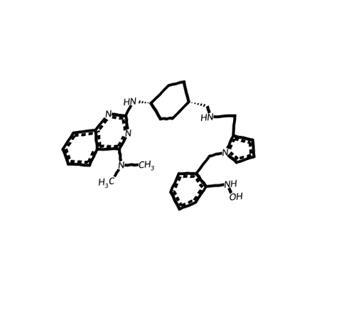 CN(C)c1nc(N[C@H]2CC[C@@H](CNCc3cccn3Cc3ccccc3NO)CC2)nc2ccccc12